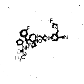 COC(=O)N[C@H]1CCC[C@@H]1C(CN1CCC1)(c1cccc(F)c1)C1CCN(CC2(O)CN(c3ccc(C#N)c(CN4CC(F)C4)c3)C2)CC1